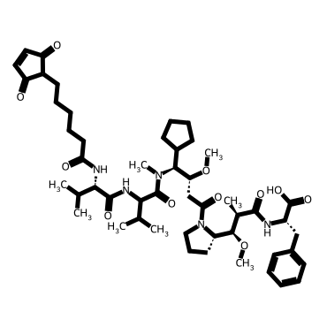 CO[C@H]([C@@H](C)C(=O)N[C@@H](Cc1ccccc1)C(=O)O)[C@@H]1CCCN1C(=O)C[C@@H](OC)[C@H](C1CCCC1)N(C)C(=O)C(NC(=O)[C@@H](NC(=O)CCCCCC1C(=O)C=CC1=O)C(C)C)C(C)C